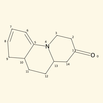 O=C1CCN2C3=CC=CCC3CCC2C1